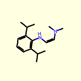 CC(C)c1cccc(C(C)C)c1N/C=C\N(C)C